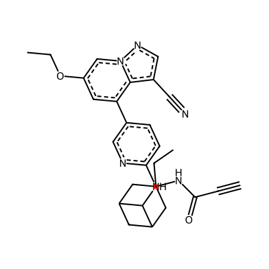 C#CC(=O)NC1(CC)CC2CC(C1)C2Nc1ccc(-c2cc(OCC)cn3ncc(C#N)c23)cn1